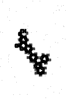 COc1ccc2c(c1)c(=O)oc1cc(-c3ccc(-c4nc5ccccc5n4-c4ccccc4)cc3)ccc12